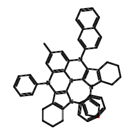 Cc1cc2c3c(c1)N(c1ccc4ccccc4c1)c1c4c(n(-c5ccccc5)c1B3c1c(c3c(n1-c1ccccc1)CCCC3)N2c1ccccc1)CCCC4